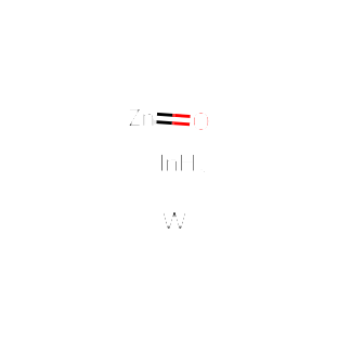 [InH3].[O]=[Zn].[W]